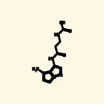 Cn1ccn2ncc(NC(=O)CCNC(=O)O)c12